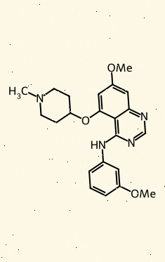 COc1cccc(Nc2ncnc3cc(OC)cc(OC4CCN(C)CC4)c23)c1